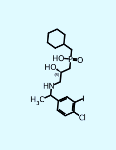 CC(NC[C@@H](O)CP(=O)(O)CC1CCCCC1)c1ccc(Cl)c(I)c1